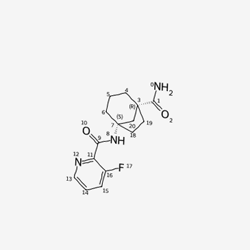 NC(=O)[C@]12CCC[C@](NC(=O)c3ncccc3F)(CC1)C2